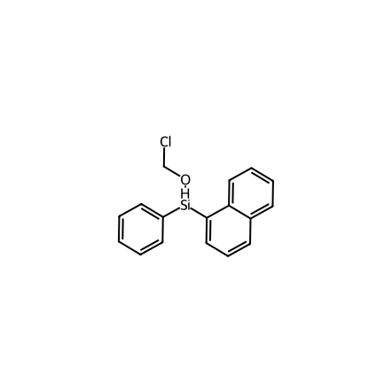 ClCO[SiH](c1ccccc1)c1cccc2ccccc12